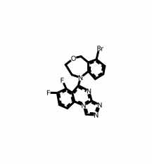 Fc1ccc2c(c(N3CCOCc4c(Br)cccc43)nc3nncn32)c1F